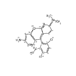 C[N+](C)=c1ccc2c(-c3c(Cl)ccc(Cl)c3C(=O)O)c3ccc(N)cc3oc-2c1